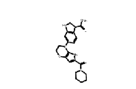 COC(=O)C1CNc2cc(N3CCOc4cc(C(=O)N5CCCCC5)[nH]c43)ccc21